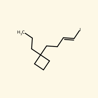 CCCC1(CC/C=C/I)CCC1